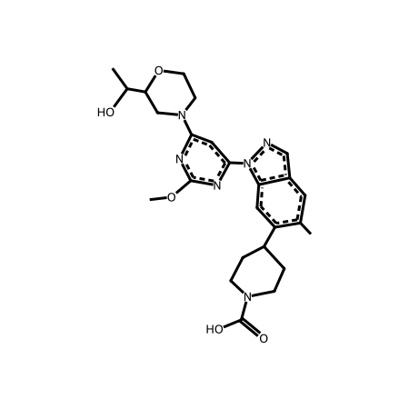 COc1nc(N2CCOC(C(C)O)C2)cc(-n2ncc3cc(C)c(C4CCN(C(=O)O)CC4)cc32)n1